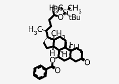 CC(C)C(CC[C@@H](C)[C@H]1CC[C@H]2[C@@H]3[C@H](OC(=O)c4ccccc4)CC4CC(=O)CC[C@]4(C)[C@H]3CC[C@]12C)O[Si](C)(C)C(C)(C)C